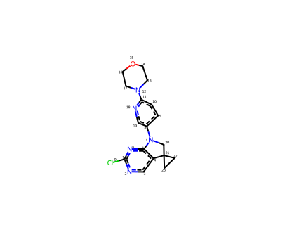 Clc1ncc2c(n1)N(c1ccc(N3CCOCC3)nc1)CC21CC1